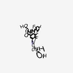 O=C(CO/N=C/c1cc(C(=O)NOCCO)c(Nc2ccc(I)cc2F)c(F)c1F)NCCO